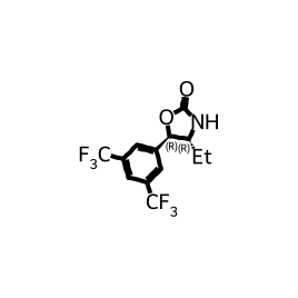 CC[C@H]1NC(=O)O[C@@H]1c1cc(C(F)(F)F)cc(C(F)(F)F)c1